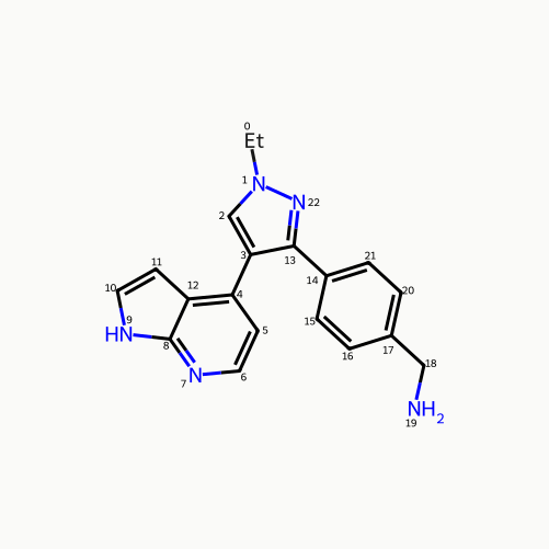 CCn1cc(-c2ccnc3[nH]ccc23)c(-c2ccc(CN)cc2)n1